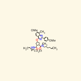 C=CCCCCN(C)C(=O)C1CC(Oc2nc(-c3ccc(OC)cc3)nc3c(C)c(OC)ccc23)CC1C(=O)NC1(C(=O)OCC)CC1C=C